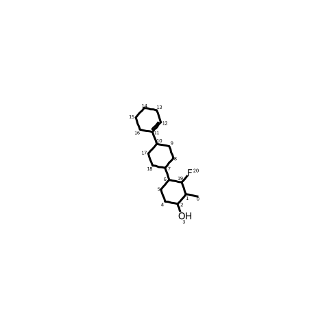 CC1C(O)CCC(C2CCC(C3=CCCCC3)CC2)C1F